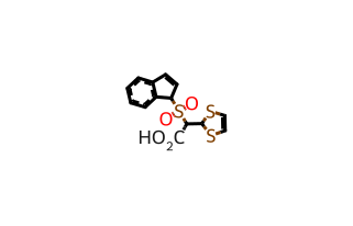 O=C(O)C(C1SC=CS1)S(=O)(=O)C1C=Cc2ccccc21